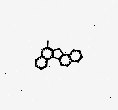 Cc1nc2ccccc2c2c1Cc1c-2ccc2ccccc12